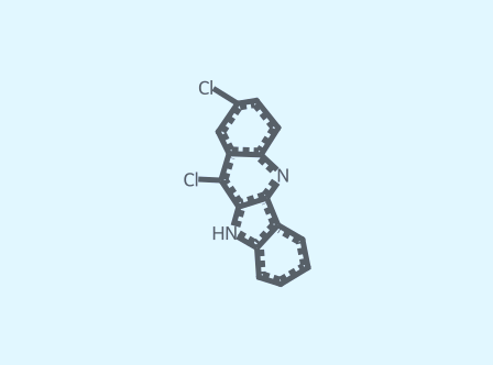 Clc1ccc2nc3c([nH]c4ccccc43)c(Cl)c2c1